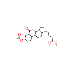 COC(=O)CC[C@@H](C)[C@H]1CCC2C3CC(=O)C4C[C@@H](OC(C)=O)CC[C@]4(C)C3CC[C@@]21C